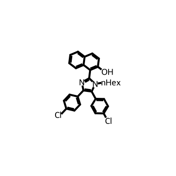 CCCCCCn1c(-c2c(O)ccc3ccccc23)nc(-c2ccc(Cl)cc2)c1-c1ccc(Cl)cc1